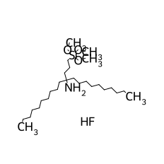 CCCCCCCCCCC(N)(CCCCCCCCCC)CCC[Si](OC)(OC)OC.F